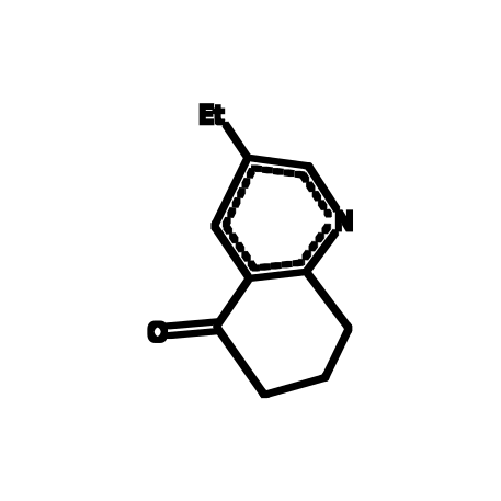 CCc1cnc2c(c1)C(=O)CCC2